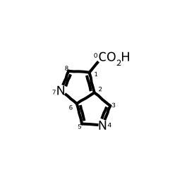 O=C(O)C1=C2C=NC=C2N=C1